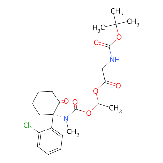 CC(OC(=O)CNC(=O)OC(C)(C)C)OC(=O)N(C)[C@]1(c2ccccc2Cl)CCCCC1=O